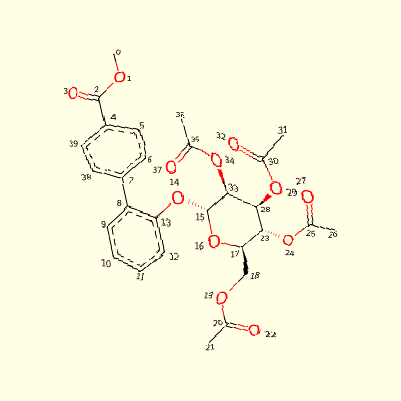 COC(=O)c1ccc(-c2ccccc2O[C@H]2O[C@H](COC(C)=O)[C@@H](OC(C)=O)[C@H](OC(C)=O)[C@@H]2OC(C)=O)cc1